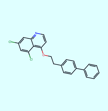 Clc1cc(Cl)c2c(OCCc3ccc(-c4ccccc4)cc3)ccnc2c1